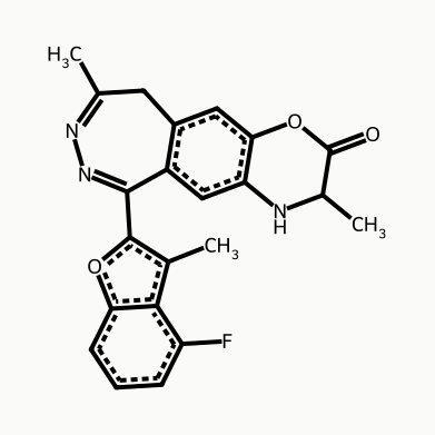 CC1=NN=C(c2oc3cccc(F)c3c2C)c2cc3c(cc2C1)OC(=O)C(C)N3